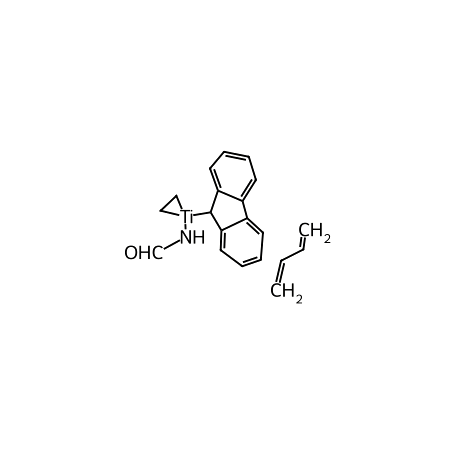 C=CC=C.O=C[NH][Ti]1([CH]2c3ccccc3-c3ccccc32)[CH2][CH2]1